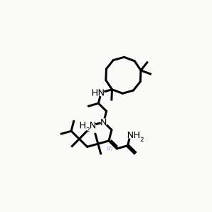 C=C(N)/C=C(\CN(N)CC(C)NC1(C)CCCCCC(C)(C)CCC1)C(C)(C)CC(C)(C)C(C)C